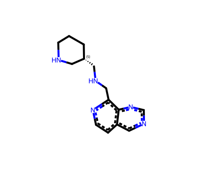 c1cc2cncnc2c(CNC[C@H]2CCCNC2)n1